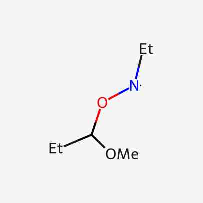 CC[N]OC(CC)OC